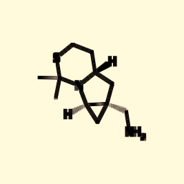 CC1(C)SCC[C@@H]2C[C@@]3(CN)C[C@H]3N21